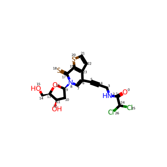 O=C(NCC#Cc1cn([C@H]2C[C@@H](O)[C@@H](CO)O2)c(=S)c2sccc12)C(Cl)Cl